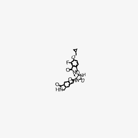 O=C1NC(=O)[C@](CN2Cc3ccc(OCC4CC4)c(F)c3C2=O)(c2cc3cc4c(cc3o2)C(=O)NC4)N1